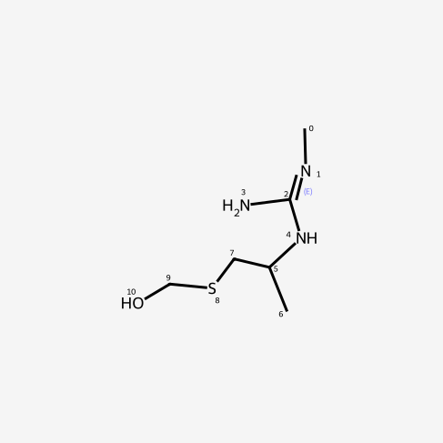 C/N=C(\N)NC(C)CSCO